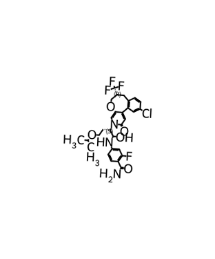 CC(C)OCC[C@@H](C(O)Nc1ccc(C(N)=O)c(F)c1)n1cc2c(cc1=O)-c1cc(Cl)ccc1C[C@@H](C(F)(F)F)CO2